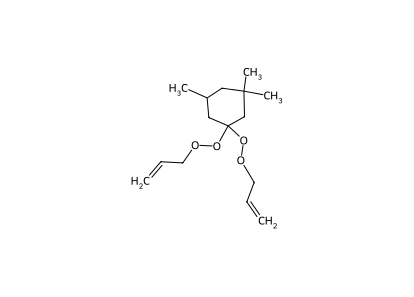 C=CCOOC1(OOCC=C)CC(C)CC(C)(C)C1